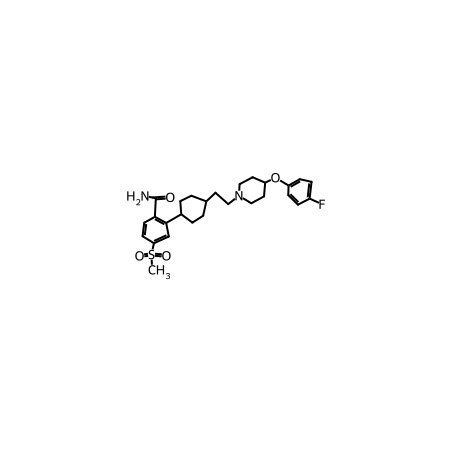 CS(=O)(=O)c1ccc(C(N)=O)c(C2CCC(CCN3CCC(Oc4ccc(F)cc4)CC3)CC2)c1